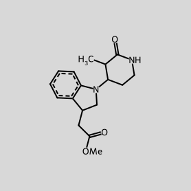 COC(=O)CC1CN(C2CCNC(=O)C2C)c2ccccc21